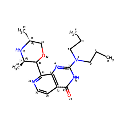 CCCN(CCC)c1nc2c(C3OC[C@@H](C)N[C@@H]3C)nccc2c(=O)[nH]1